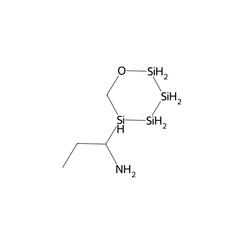 CCC(N)[SiH]1CO[SiH2][SiH2][SiH2]1